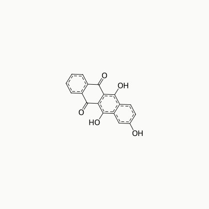 O=C1c2ccccc2C(=O)c2c1c(O)c1ccc(O)cc1c2O